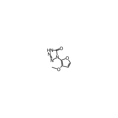 COc1ccoc1-n1nn[nH]c1=O